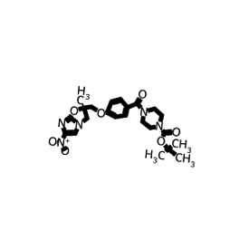 CC(C)(C)OC(=O)N1CCN(C(=O)c2ccc(OC[C@@]3(C)Cn4cc([N+](=O)[O-])nc4O3)cc2)CC1